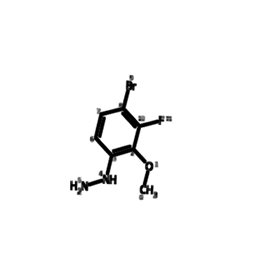 COc1c(NN)ccc(Br)c1F